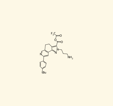 CC(C)(C)c1ccc(-c2cc3c(cn2)CCc2c-3nn(CCCN)c2C(=O)OC(=O)C(F)(F)F)cc1